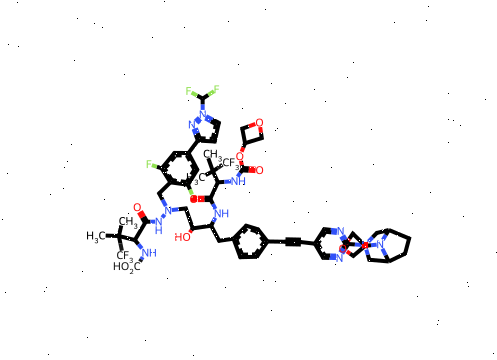 CC(C)(C(NC(=O)O)C(=O)NN(Cc1c(F)cc(-c2ccn(C(F)F)n2)cc1F)CC(O)C(Cc1ccc(C#Cc2cnc(N3CC4CCC(C3)N4C3COC3)nc2)cc1)NC(=O)C(NC(=O)OC1COC1)C(C)(C)C(F)(F)F)C(F)(F)F